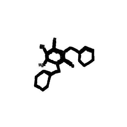 Nc1c(N=O)c(=O)n(CC2CCCCC2)c(=O)n1CC1CCCCC1